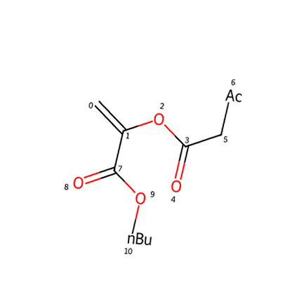 C=C(OC(=O)CC(C)=O)C(=O)OCCCC